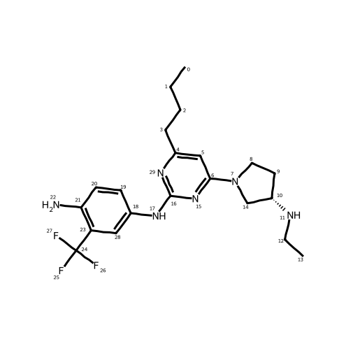 CCCCc1cc(N2CC[C@H](NCC)C2)nc(Nc2ccc(N)c(C(F)(F)F)c2)n1